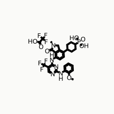 COc1ccccc1Nc1ncc(C(F)(F)F)c(Nc2ccc(C3CCC(P(=O)(O)O)CC3)c3c2C(=O)N(C)C3)n1.O=C(O)C(F)(F)F